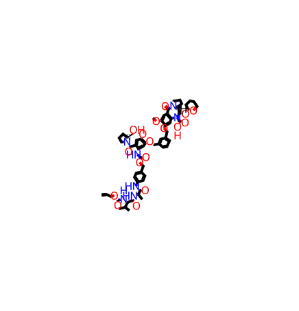 C=CCOC(=O)NC(C(=O)NC(C)C(=O)Nc1ccc(COC(=O)Nc2cc(OCc3cccc(COc4cc5c(cc4OC)C(=O)N4CCC[C@H]4[C@H](OC4CCCCO4)N5C(=O)O)c3)c(OC)cc2C(=O)N2CCC[C@H]2CO)cc1)C(C)C